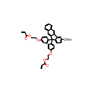 C=CC(=O)OCCOc1ccc(C2(c3ccc(OCCOC(=O)C=C)cc3)c3ccc(OC)cc3-c3cc4ccccc4cc32)cc1